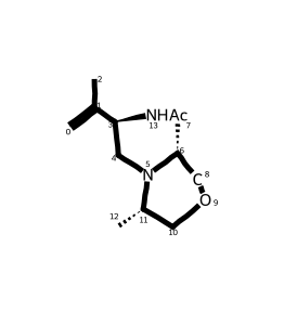 C=C(C)[C@H](CN1[C@H](C)COC[C@@H]1C)NC(C)=O